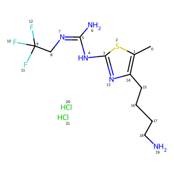 Cc1sc(N/C(N)=N\CC(F)(F)F)nc1CCCCN.Cl.Cl